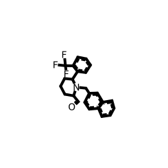 O=CC1CCCC(c2ccccc2C(F)(F)F)N1Cc1ccc2ccccc2c1